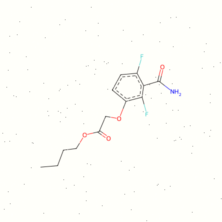 CCCCOC(=O)COc1ccc(F)c(C(N)=O)c1F